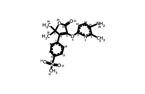 Cc1nc(OC2=C(c3ccc(S(C)(=O)=O)cc3)C(C)(C)OC2=O)ccc1N